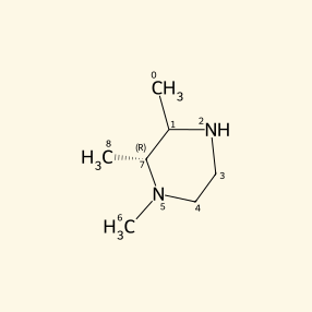 CC1NCCN(C)[C@@H]1C